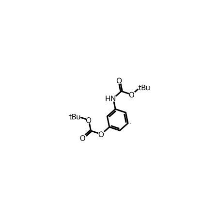 CC(C)(C)OC(=O)Nc1c[c]cc(OC(=O)OC(C)(C)C)c1